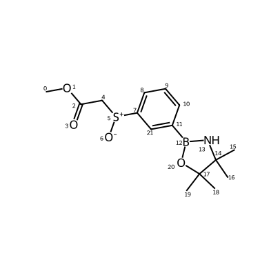 COC(=O)C[S+]([O-])c1cccc(B2NC(C)(C)C(C)(C)O2)c1